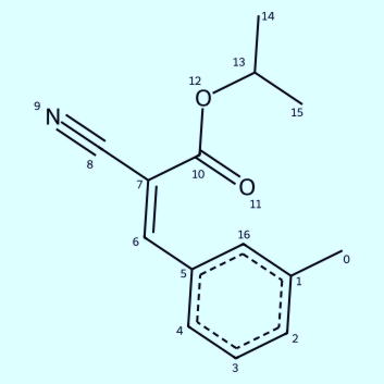 Cc1cccc(C=C(C#N)C(=O)OC(C)C)c1